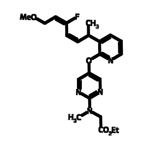 CCOC(=O)CN(C)c1ncc(Oc2ncccc2C(C)/C=C\C(F)=C/COC)cn1